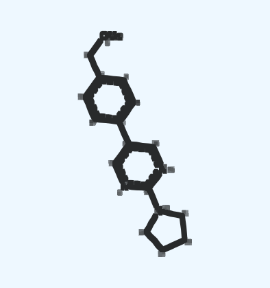 COCc1ccc(-c2cnc(N3CCCC3)nc2)cc1